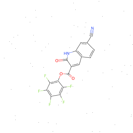 N#Cc1ccc2cc(C(=O)Oc3c(F)c(F)c(F)c(F)c3F)c(=O)[nH]c2c1